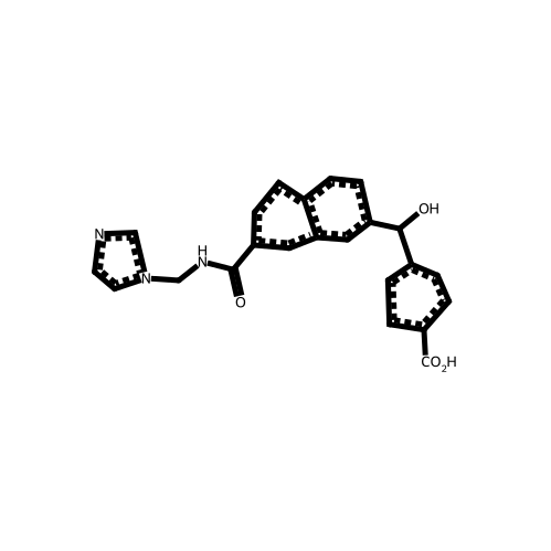 O=C(O)c1ccc(C(O)c2ccc3ccc(C(=O)NCn4ccnc4)cc3c2)cc1